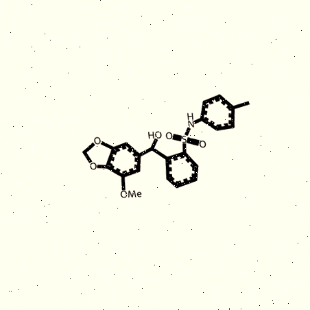 COc1cc(C(O)c2ccccc2S(=O)(=O)Nc2ccc(C)cc2)cc2c1OCO2